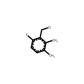 Cc1ccc(F)c(CCl)c1C